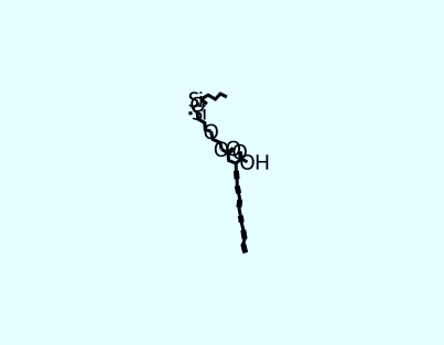 C#CC#CC#CC#CC#CC#CC(CC(=O)OCCOCCC[Si](C)(C)O[Si](C)(C)CCCC)C(=O)O